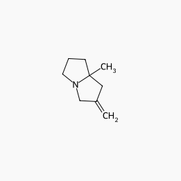 C=C1CN2CCCC2(C)C1